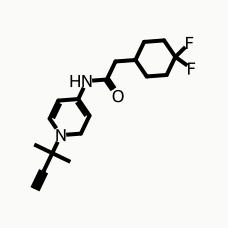 C#CC(C)(C)N1C=CC(NC(=O)CC2CCC(F)(F)CC2)=CC1